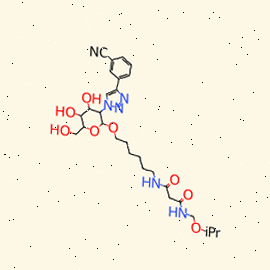 CC(C)OCNC(=O)CC(=O)NCCCCCCOC1OC(CO)C(O)C(O)C1n1cc(-c2cccc(C#N)c2)nn1